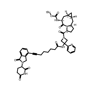 CC(C)(C)OC(=O)N[C@H]1C[C@@H]2C[C@@H]2C[C@H]2CC[C@@H](C(=O)N3CC(NC(=O)CCCCCC#Cc4cccc5c4CN(C4CCC(=O)NC4=O)C5=O)(c4ccccn4)C3)N2C1=O